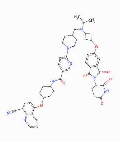 CC(C)N(CC1CCN(c2ccc(C(=O)NC3CCC(Oc4ccc(C#N)c5ncccc45)CC3)cn2)CC1)C1CC(Oc2ccc3c(c2)C(=O)N(C2CCC(=O)NC2=O)C3=O)C1